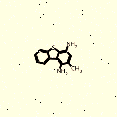 Cc1cc(N)c2sc3ccccc3c2c1N